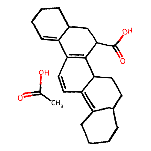 CC(=O)O.O=C(O)C1CC2CCCC=C2C2=C1C1CCC3CCCCC3=C1C=C2